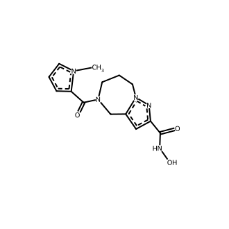 Cn1cccc1C(=O)N1CCCn2nc(C(=O)NO)cc2C1